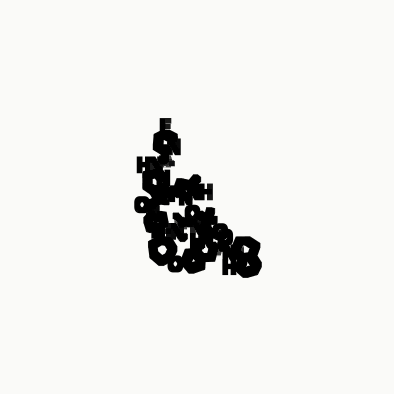 CN[C@@H](C)C(=O)N[C@H](C(=O)N1Cc2cc(OC3CCCC(N4CCN(C(=O)c5cn(-c6cc(C)[nH]n6)c6nc(N[C@@H](C)c7ccc(F)cn7)ccc56)CC4)CC3)ccc2C[C@H]1C(=O)N[C@@H]1CCCc2ccccc21)C(C)(C)C